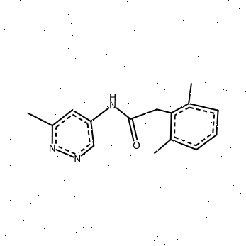 Cc1cc(NC(=O)Cc2c(C)cccc2C)cnn1